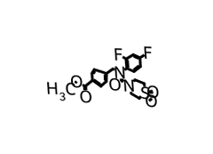 COC(=O)c1ccc(CN(C(=O)N2CCS(=O)(=O)CC2)c2ccc(F)cc2F)cc1